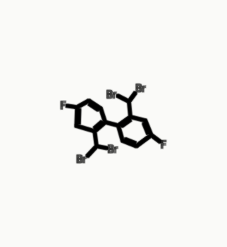 Fc1ccc(-c2ccc(F)cc2C(Br)Br)c(C(Br)Br)c1